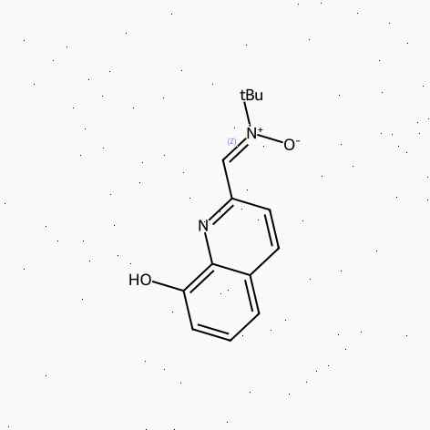 CC(C)(C)/[N+]([O-])=C/c1ccc2cccc(O)c2n1